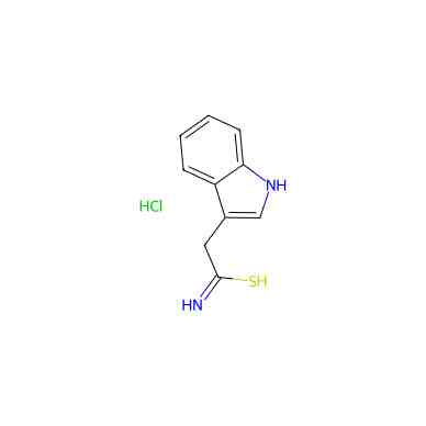 Cl.N=C(S)Cc1c[nH]c2ccccc12